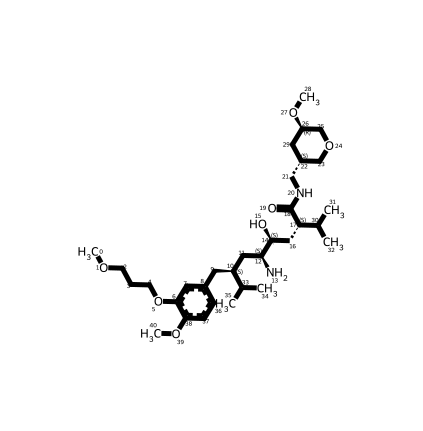 COCCCOc1cc(C[C@@H](C[C@H](N)[C@@H](O)C[C@H](C(=O)NC[C@H]2COC[C@H](OC)C2)C(C)C)C(C)C)ccc1OC